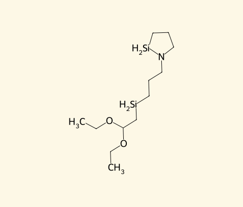 CCOC(C[SiH2]CCCN1CCC[SiH2]1)OCC